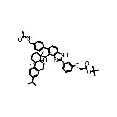 CC(=O)NCc1ccc(-c2ccc3[nH]c(-c4cccc(OCC(=O)OC(C)(C)C)c4)nc3c2C[C@@]2(C)CCC[C@]3(C)c4ccc(C(C)C)cc4CC[C@@H]23)cc1